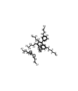 CCCCCCc1cccc(C(=C(CCCC)C(=C=[N+]=[N-])CCCCC)c2cccc(CCCC)c2)c1.CCCC[O][Ni][O]CCCC